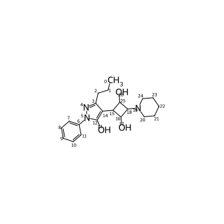 CCCc1nn(-c2ccccc2)c(O)c1C1C(O)C(N2CCCCC2)C1O